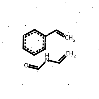 C=CNC=O.C=Cc1ccccc1